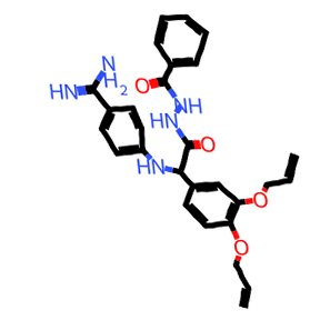 C=CCOc1ccc(C(Nc2ccc(C(=N)N)cc2)C(=O)NNC(=O)c2ccccc2)cc1OCC=C